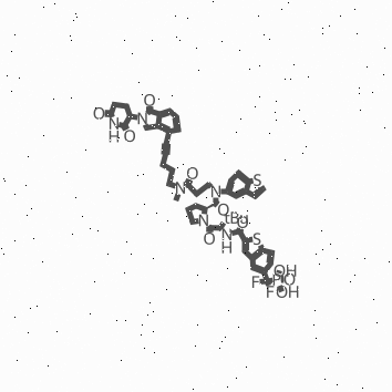 CN(CCCC#Cc1cccc2c1CN(C1CCC(=O)NC1=O)C2=O)C(=O)CCN(C(=O)[C@@H]1CCCN1C(=O)C(NC(=O)c1cc2cc(C(F)(F)P(=O)(O)O)ccc2s1)C(C)(C)C)c1ccc2sccc2c1